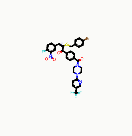 O=C(/C(=C\c1ccc(F)c([N+](=O)[O-])c1)SCc1ccc(Br)cc1)c1ccc(C(=O)N2CCN(c3ccc(C(F)(F)F)cn3)CC2)cc1